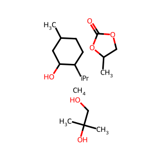 C.CC(C)(O)CO.CC1CCC(C(C)C)C(O)C1.CC1COC(=O)O1